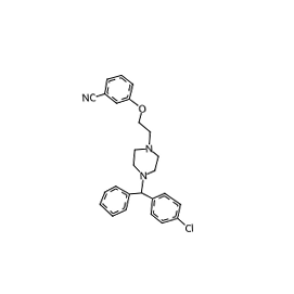 N#Cc1cccc(OCCN2CCN(C(c3ccccc3)c3ccc(Cl)cc3)CC2)c1